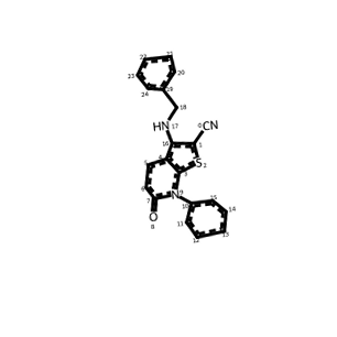 N#Cc1sc2c(ccc(=O)n2-c2ccccc2)c1NCc1ccccc1